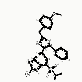 COc1ccc(Cc2nc(-c3ccccc3)c(-c3cc(S(=O)(=O)C(C)C)c4nc(N)[nH]c4c3)[nH]2)cc1